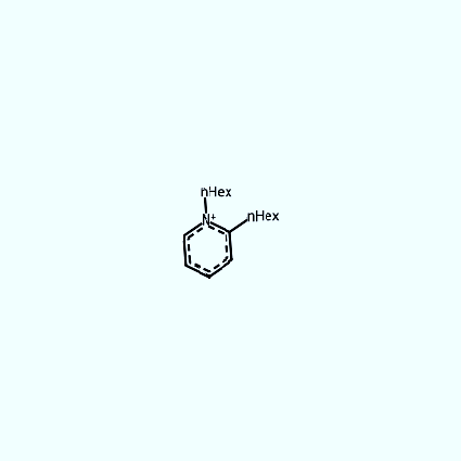 CCCCCCc1cccc[n+]1CCCCCC